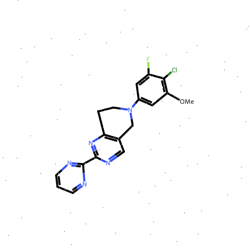 COc1cc(N2CCc3nc(-c4ncccn4)ncc3C2)cc(F)c1Cl